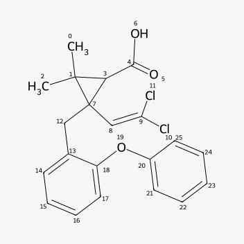 CC1(C)C(C(=O)O)C1(C=C(Cl)Cl)Cc1ccccc1Oc1ccccc1